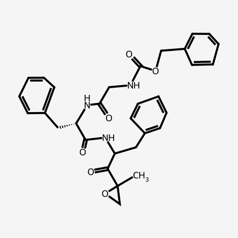 CC1(C(=O)C(Cc2ccccc2)NC(=O)[C@H](Cc2ccccc2)NC(=O)CNC(=O)OCc2ccccc2)CO1